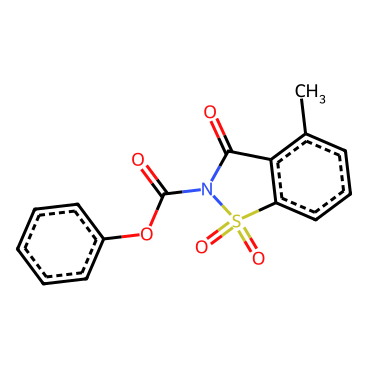 Cc1cccc2c1C(=O)N(C(=O)Oc1ccccc1)S2(=O)=O